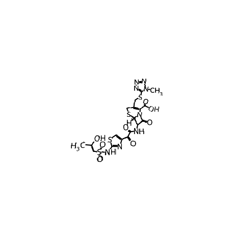 CC(O)CS(=O)(=O)Nc1nc(C(=O)C(=O)NC2C(=O)N3C(C(=O)O)=C(CSc4nnnn4C)CS[C@@H]23)cs1